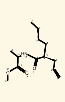 C=CC[C@H](CCCC)C(=O)NC(C)C(=O)OC